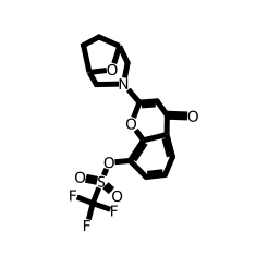 O=c1cc(N2CC3CCC(C2)O3)oc2c(OS(=O)(=O)C(F)(F)F)cccc12